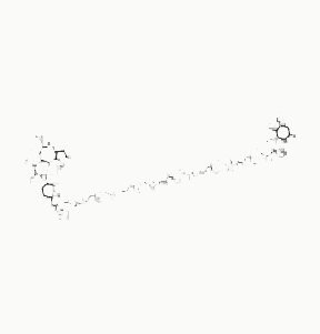 CCCN(C(=O)C1=Cc2sccc2N=C(N)C1)C(c1ccc(CN(C)CCOCCOCCOCCOCCOCCOCCOCCOCCOCCOCCC(=O)Oc2c(F)c(F)cc(F)c2F)nc1)C(F)(F)F